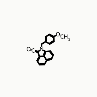 COc1ccc(Cn2c(=C=O)c3cccc4cccc2c43)cc1